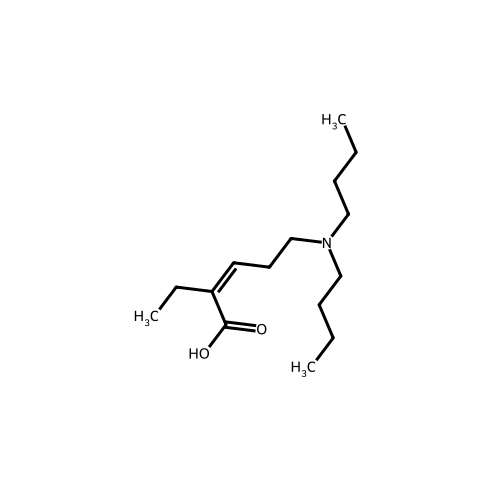 CCCCN(CCC=C(CC)C(=O)O)CCCC